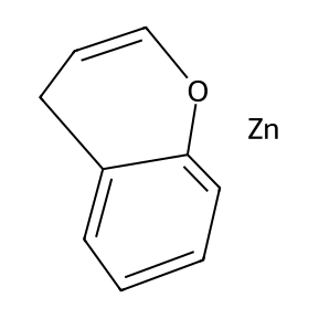 C1=COc2ccccc2C1.[Zn]